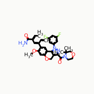 C=C/C(=C\C(=C/C)C(N)=O)c1cc2c(cc1OC)OCc1c(C(=O)N3CCOCC3(C)C)nn(-c3cc(F)cc(F)c3)c1-2